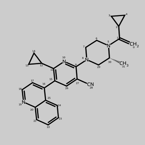 C=C(C1CC1)N1CCN(c2nc(C3CC3)c(-c3ccnc4ccccc34)cc2C#N)C[C@H]1C